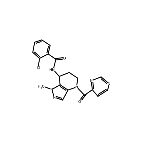 Cn1ncc2c1C(NC(=O)c1ccccc1Cl)CCN2C(=O)c1ccncn1